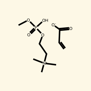 C=CC(=O)[O-].COP(=O)(O)OCC[N+](C)(C)C